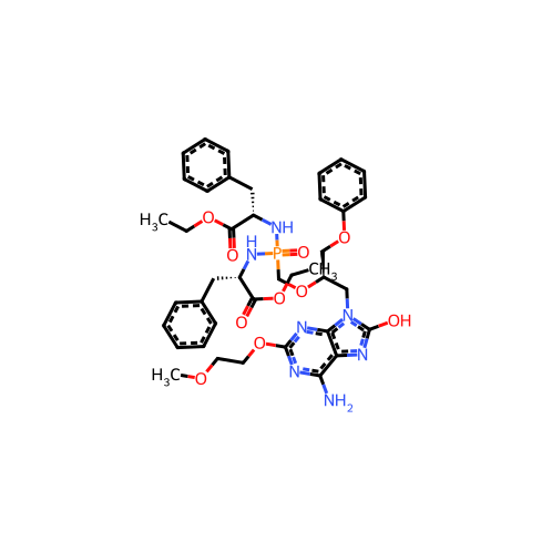 CCOC(=O)[C@H](Cc1ccccc1)NP(=O)(CO[C@@H](COc1ccccc1)Cn1c(O)nc2c(N)nc(OCCOC)nc21)N[C@@H](Cc1ccccc1)C(=O)OCC